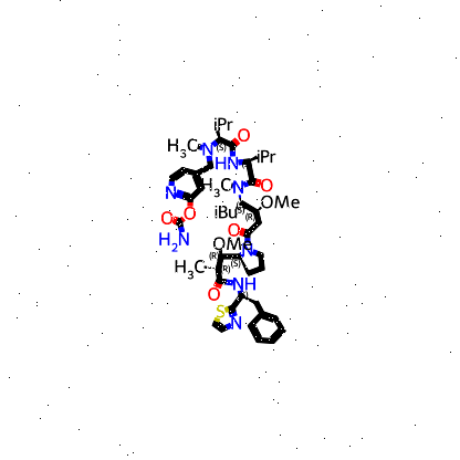 CC[C@H](C)[C@@H]([C@@H](CC(=O)N1CCC[C@H]1[C@H](OC)[C@@H](C)C(=O)N[C@@H](Cc1ccccc1)c1nccs1)OC)N(C)C(=O)[C@@H](NC(=O)[C@H](C(C)C)N(C)Cc1ccnc(OC(N)=O)c1)C(C)C